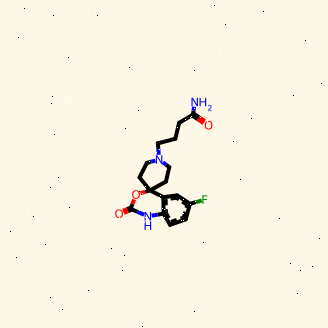 NC(=O)CCCN1CCC2(CC1)OC(=O)Nc1ccc(F)cc12